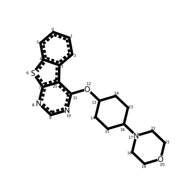 c1ccc2c(c1)sc1ncnc(OC3CCC(N4CCOCC4)CC3)c12